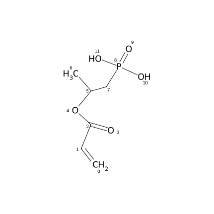 C=CC(=O)OC(C)CP(=O)(O)O